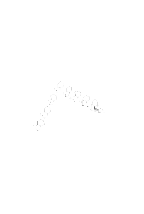 S.S.S.S.c1ccc2scnc2c1.c1ccc2scnc2c1.c1ccc2scnc2c1.c1ccc2scnc2c1.c1ccc2scnc2c1.c1ccc2scnc2c1.c1ccc2scnc2c1.c1ccc2scnc2c1